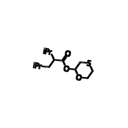 CC(C)CC(C(=O)OC1CSCCO1)C(C)C